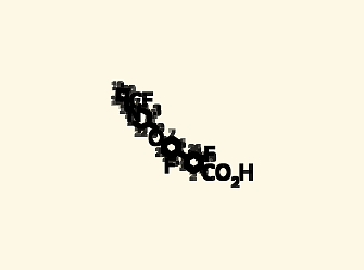 O=C(O)c1ccc(-c2ccc(OCC3CCN(CC4(C(F)(F)F)CCC4)CC3)cc2F)cc1F